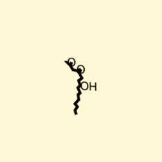 CCCCCCCCC(O)CCC1OC1CC1CO1